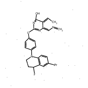 C=N/C=c1/nc(Oc2ccc(N3CCC(F)c4cc(C(C)C)ccc43)cc2)nc(O)/c1=C/C